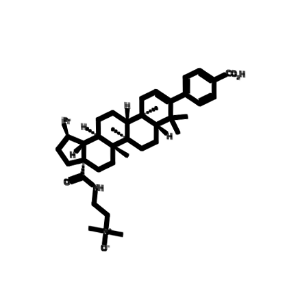 CC(C)[C@@H]1CC[C@]2(C(=O)NCC[N+](C)(C)[O-])CC[C@]3(C)[C@H](CC[C@@H]4[C@@]5(C)CC=C(c6ccc(C(=O)O)cc6)C(C)(C)[C@@H]5CC[C@]43C)[C@@H]12